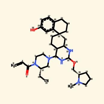 C=CC(=O)N1CCN(C2NC(OC[C@@H]3CCCN3C)NC3C[C@]4(CCCc5ccc(O)cc54)CCC32)C[C@@H]1CC#N